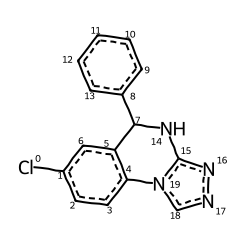 Clc1ccc2c(c1)C(c1ccccc1)Nc1nncn1-2